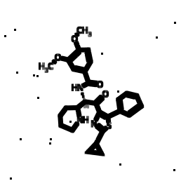 COc1ccc(C(=O)N[C@H](C(=O)c2nc(C3CC3)sc2-c2ccccc2)C2CCCCN2)cc1OC